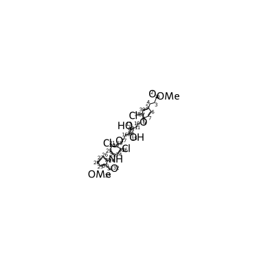 COC(=O)CCc1ccc(OCC[C@@H](O)[C@H](O)CCOc2c(Cl)cc(Nc3ccccc3C(=O)OC)cc2Cl)c(Cl)c1